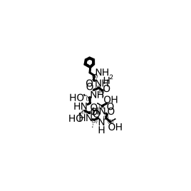 C[C@H](NC(=O)[C@@H](NC(=O)[C@H](C)NC(=O)[C@H](CO)NC(=O)[C@H](CO)NC(=O)[C@@H](NC(=O)[C@@H](N)Cc1ccccc1)[C@@H](C)O)[C@@H](C)O)C(=O)O